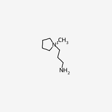 C[N+]1(CCCN)CCCC1